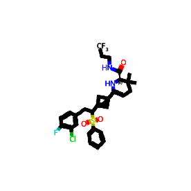 CC1(C)CC=C(C23CC(C(Cc4ccc(F)c(Cl)c4)S(=O)(=O)c4ccccc4)(C2)C3)N[C@H]1C(=O)NCCC(F)(F)F